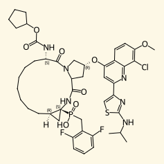 COc1ccc2c(O[C@@H]3CC4C(=O)N[C@]5(P(=O)(O)Cc6c(F)cccc6F)C[C@H]5CCCCCCC[C@H](NC(=O)OC5CCCC5)C(=O)N4C3)cc(-c3csc(NC(C)C)n3)nc2c1Cl